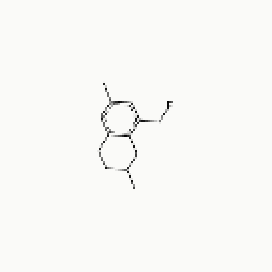 Cc1cc(CF)c2c(c1)CCC(C)C2